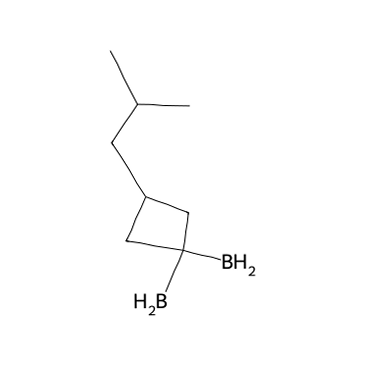 BC1(B)CC(CC(C)C)C1